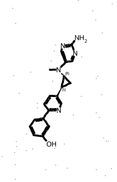 CN(c1cnc(N)nc1)[C@@H]1C[C@H]1c1ccc(-c2cccc(O)c2)nc1